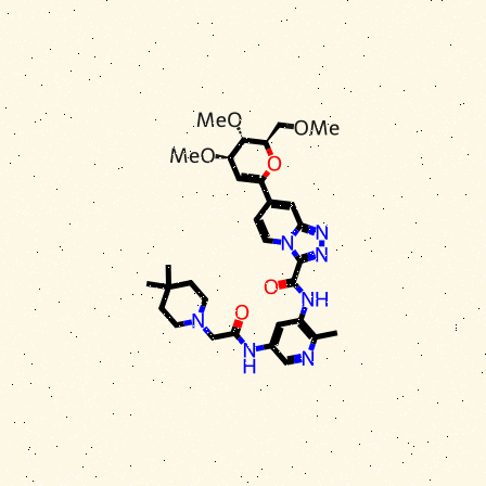 COC[C@H]1OC(c2ccn3c(C(=O)Nc4cc(NC(=O)CN5CCC(C)(C)CC5)cnc4C)nnc3c2)=C[C@@H](OC)[C@@H]1OC